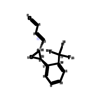 O=C/C=C/[C@H]1O[C@@H]1c1ccccc1C(F)(F)F